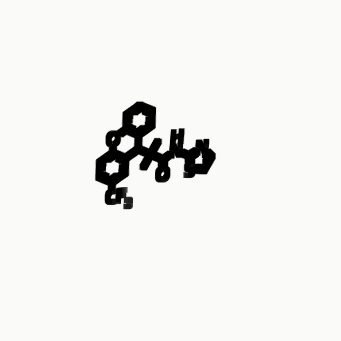 CC(C)(C(=O)Nc1nccs1)C1c2ccccc2Oc2ccc(C(F)(F)F)cc21